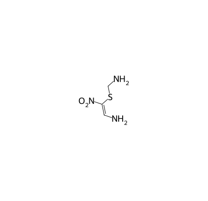 N/C=C(\SCN)[N+](=O)[O-]